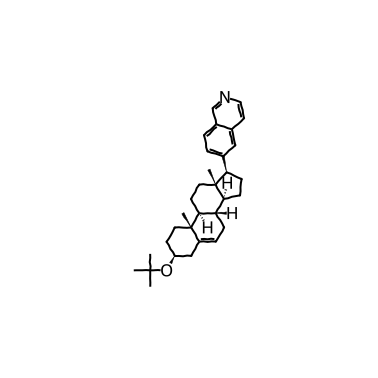 CC(C)(C)O[C@H]1CC[C@@]2(C)C(=CC[C@H]3[C@@H]4CC[C@H](c5ccc6cnccc6c5)[C@@]4(C)CC[C@@H]32)C1